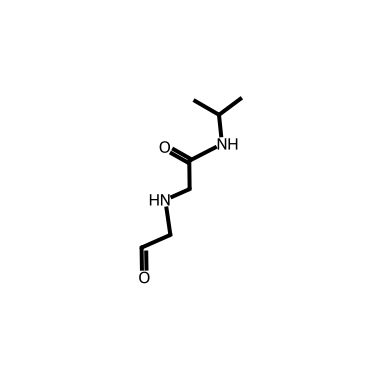 CC(C)NC(=O)CNCC=O